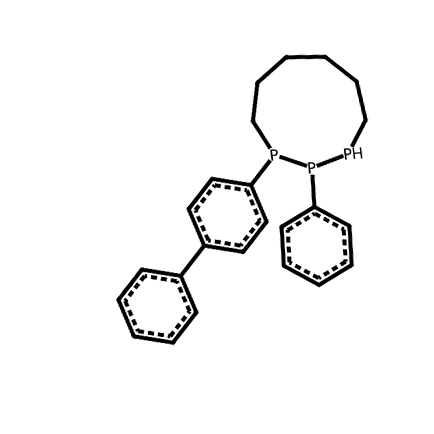 c1ccc(-c2ccc(P3CCCCCCPP3c3ccccc3)cc2)cc1